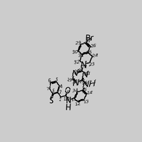 O=C(CC1=CC=CCC1=S)Nc1cccc(Nc2ncnc(N3CCc4cc(Br)ccc4C3)n2)c1